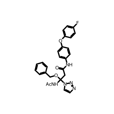 CC(=O)NC(CC(=O)Nc1ccc(Oc2ccc(F)cc2)cc1)(OCc1ccccc1)n1ccnn1